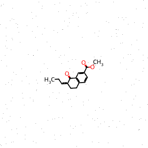 CCC=C1CCc2ccc(C(=O)OC)cc2C1=O